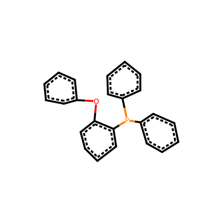 [c]1ccccc1Oc1ccccc1P(c1ccccc1)c1ccccc1